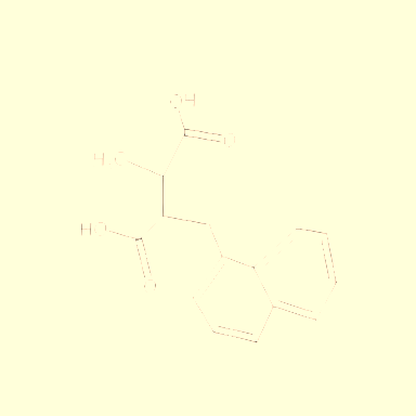 CC(C(=O)O)C(Cc1cccc2ccccc12)C(=O)O